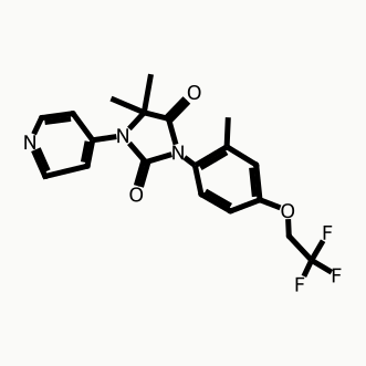 Cc1cc(OCC(F)(F)F)ccc1N1C(=O)N(c2ccncc2)C(C)(C)C1=O